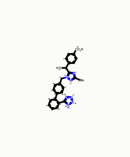 CCC(C)c1nc(C(C)c2ccc(C(=O)O)cc2)n(Cc2ccc(-c3ccccc3-c3nnn[nH]3)cc2)n1